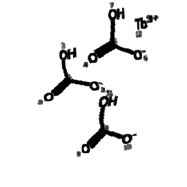 O=C([O-])O.O=C([O-])O.O=C([O-])O.[Tb+3]